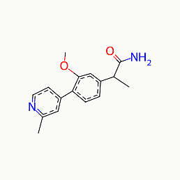 COc1cc(C(C)C(N)=O)ccc1-c1ccnc(C)c1